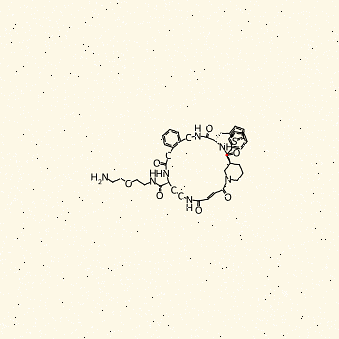 NCCOCCNC(=O)[C@@H]1CCNC(=O)/C=C/C(=O)N2CCC[C@](Cc3ccccc3)(C2)C(=O)N[C@@H](Cc2cccs2)C(=O)NCc2ccccc2CC(=O)N1